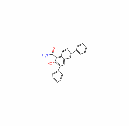 NC(=O)c1c(O)c(-c2ccccc2)cc2cc(-c3ccccc3)ccc12